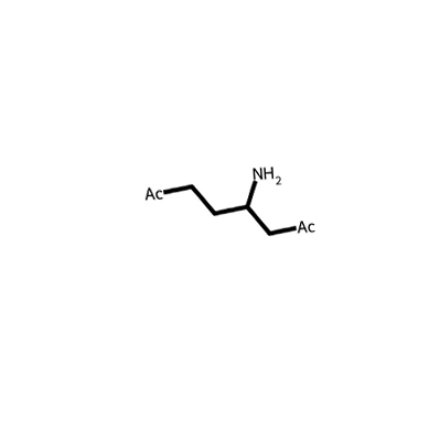 CC(=O)CCC(N)CC(C)=O